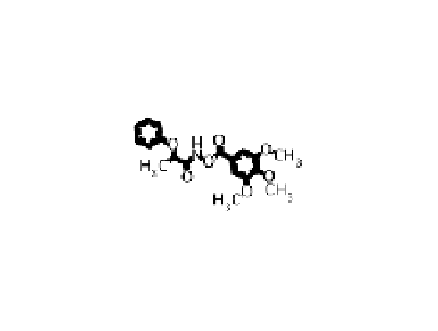 COc1cc(C(=O)ONC(=O)C(C)Oc2ccccc2)cc(OC)c1OC